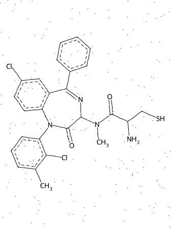 Cc1cccc(N2C(=O)C(N(C)C(=O)C(N)CS)N=C(c3ccccc3)c3cc(Cl)ccc32)c1Cl